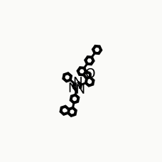 c1ccc(-c2ccc(-c3cccc4c3oc3cccc(-c5nc(-c6ccccc6)nc(-c6ccc(-c7cccc8ccccc78)cc6)n5)c34)cc2)cc1